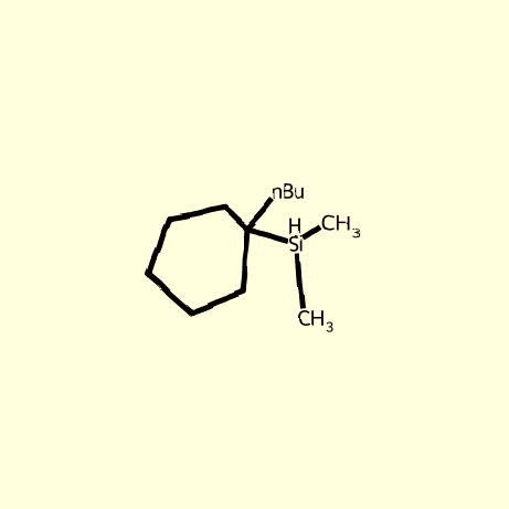 CCCCC1([SiH](C)C)CCCCC1